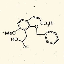 COc1ccc(/C=C\C(=O)O)c(OCc2ccccc2)c1CC(O)C(C)=O